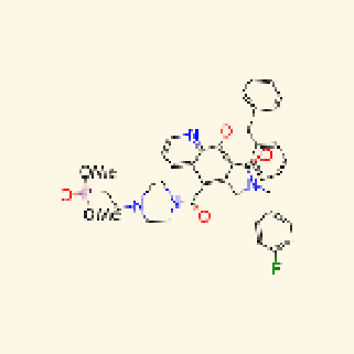 COP(=O)(CCN1CCN(C(=O)c2c3c(c(OC(c4ccccc4)c4ccccc4)c4ncccc24)C(=O)N(Cc2ccc(F)cc2)C3)CC1)OC